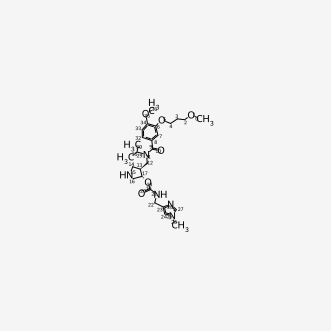 COCCCOc1cc(C(=O)N(C[C@@H]2CNC[C@H]2OC(=O)NCc2cn(C)cn2)C(C)C)ccc1OC